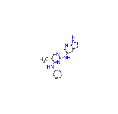 Cc1cnc(Nc2cnc3[nH]ccc3c2)nc1Nc1ccccc1